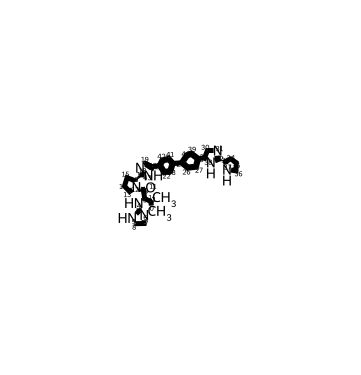 CC(C)[C@H](NC1=NCCN1)C(=O)N1CCC[C@H]1c1ncc(-c2ccc(-c3ccc(C4CN=C([C@@H]5CCCN5)N4)cc3)cc2)[nH]1